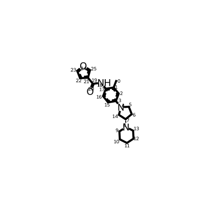 Cc1cc(N2CC[C@H](N3CCCCC3)C2)ccc1NC(=O)c1ccoc1